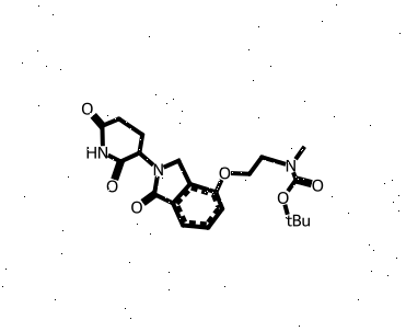 CN(CCOc1cccc2c1CN(C1CCC(=O)NC1=O)C2=O)C(=O)OC(C)(C)C